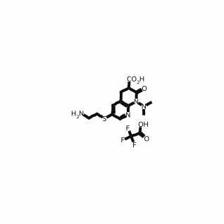 CN(C)N1C(=O)C(C(=O)O)Cc2cc(SCCN)cnc21.O=C(O)C(F)(F)F